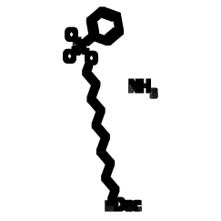 CCCCCCCCCCCCCCCCCCCCOS(=O)(=O)c1ccccc1.N